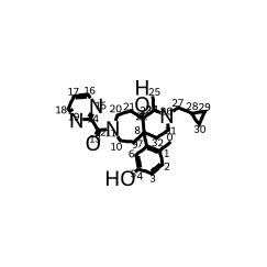 Cc1ccc(O)cc1C12CCN(C(=O)c3ncccn3)CCC1(O)C(C)N(CC1CC1)CC2